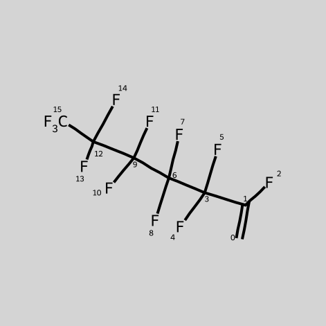 C=C(F)C(F)(F)C(F)(F)C(F)(F)C(F)(F)C(F)(F)F